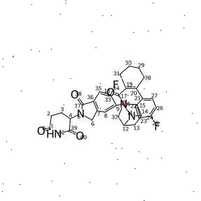 O=C1CCC(N2Cc3cc(CN4C5CC4CN(C(=O)C4=C(c6ccc(F)cc6)CCCC4)C5)c(F)cc3C2=O)C(=O)N1